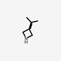 CC(C)=C1CNC1